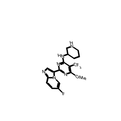 COc1nc(-c2cnc3ccc(F)cn23)nc(NC2CCCNC2)c1C(F)(F)F